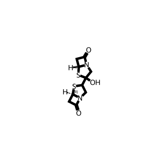 O=C1C[C@H]2SC(C3(O)CN4C(=O)C[C@H]4S3)CN12